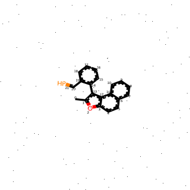 Cc1oc2ccc3ccccc3c2c1-c1ccccc1C=P